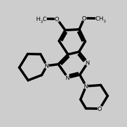 COc1cc2nc(N3CCOCC3)nc(N3CCCCC3)c2cc1OC